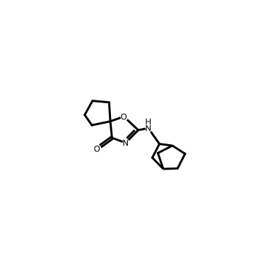 O=C1N=C(NC2CC3CCC2C3)OC12CCCC2